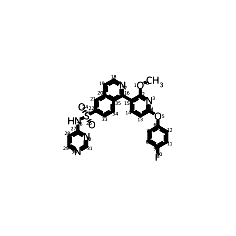 COc1nc(Oc2ccc(F)cc2)ccc1-c1nccc2cc(S(=O)(=O)Nc3ccncn3)ccc12